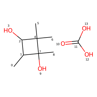 CC1C(O)C(C)(C)C1(C)O.O=C(O)O